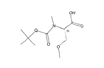 COC[C@@H](C(=O)O)N(C)C(=O)OC(C)(C)C